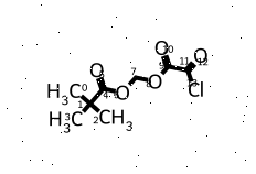 CC(C)(C)C(=O)OCOC(=O)C(=O)Cl